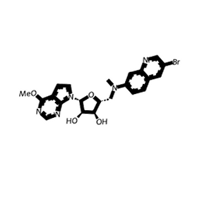 COc1ncnc2c1ccn2[C@@H]1O[C@H](CN(C)c2ccc3cc(Br)cnc3c2)[C@@H](O)[C@H]1O